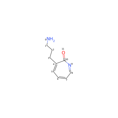 NCCCc1ccccnc1=O